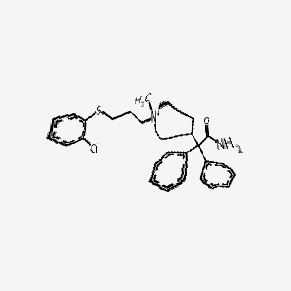 C[N+]1(CCCSc2ccccc2Cl)CC[C@@H](C(C(N)=O)(c2ccccc2)c2ccccc2)C1